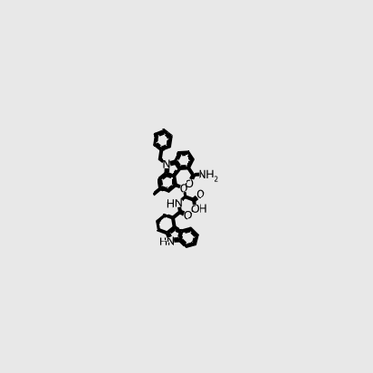 Cc1cc(OC(NC(=O)C2CCCc3[nH]c4ccccc4c32)C(=O)O)c2c3c(C(N)=O)cccc3n(Cc3ccccc3)c2c1